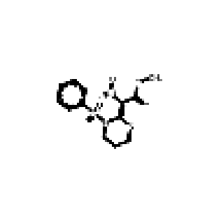 COC(=O)C(=C1SCCCN1S(=O)(=O)c1ccccc1)[N+](=O)[O-]